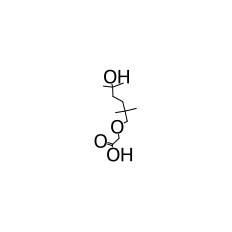 CC(C)(O)CCC(C)(C)COCC(=O)O